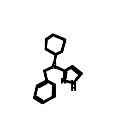 c1ccc(CN(c2cc[nH]n2)C2CCCCC2)cc1